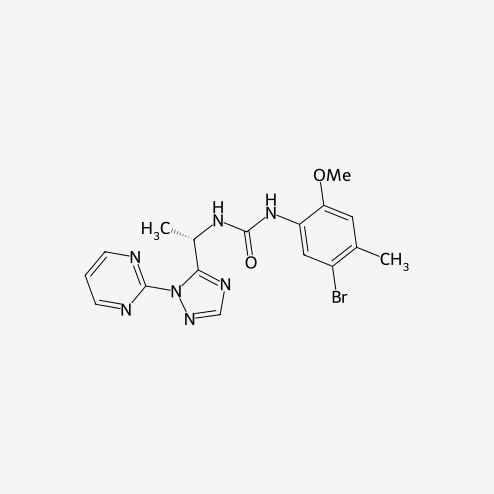 COc1cc(C)c(Br)cc1NC(=O)N[C@@H](C)c1ncnn1-c1ncccn1